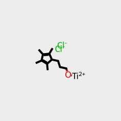 CC1=C(C)C(CCC[O][Ti+2])C(C)=C1C.[Cl-].[Cl-]